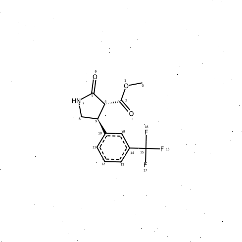 COC(=O)[C@H]1C(=O)NC[C@@H]1c1cccc(C(F)(F)F)c1